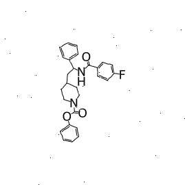 O=C(NC(CC1CCN(C(=O)Oc2ccccc2)CC1)c1ccccc1)c1ccc(F)cc1